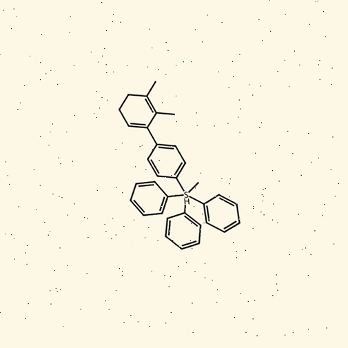 CC1=C(C)C(c2ccc([SH](C)(c3ccccc3)(c3ccccc3)c3ccccc3)cc2)=CCC1